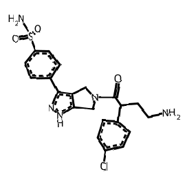 NCCC(C(=O)N1Cc2[nH]nc(-c3ccc(S(N)(=O)=O)cc3)c2C1)c1ccc(Cl)cc1